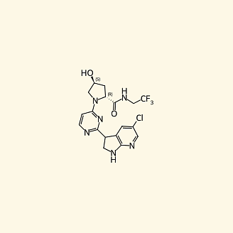 O=C(NCC(F)(F)F)[C@H]1C[C@H](O)CN1c1ccnc(C2CNc3ncc(Cl)cc32)n1